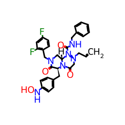 C=CCN1CC(=O)N2[C@@H](Cc3ccc(NO)cc3)C(=O)N(Cc3ccc(F)cc3F)C[C@@H]2N1C(=O)NCc1ccccc1